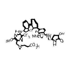 COc1nc(-c2cccc(-c3cccc4c3CC[C@@H]4Nc3nc(OC)c(CN(C)CCC(=O)O)nc3C(F)(F)F)c2Cl)ccc1CNC[C@@H]1CC(O)C(=O)N1